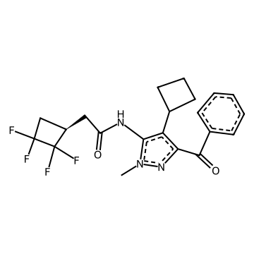 Cn1nc(C(=O)c2ccccc2)c(C2CCC2)c1NC(=O)C[C@@H]1CC(F)(F)C1(F)F